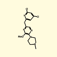 COc1nc(Sc2cc(Cl)cc(Cl)n2)cnc1N1CCN(C)CC1